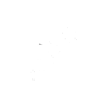 CCCCc1nc([C@@H](C)N(C(=O)[C@@H]2CCCN(C)C2)C2CC2)sc1C1=C=C=NN1C